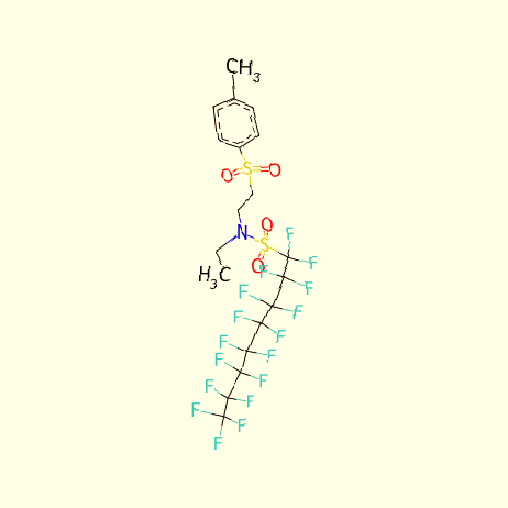 CCN(CCS(=O)(=O)c1ccc(C)cc1)S(=O)(=O)C(F)(F)C(F)(F)C(F)(F)C(F)(F)C(F)(F)C(F)(F)C(F)(F)C(F)(F)F